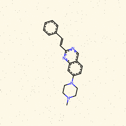 CN1CCN(c2ccc3cnc(C=Cc4ccccc4)nc3c2)CC1